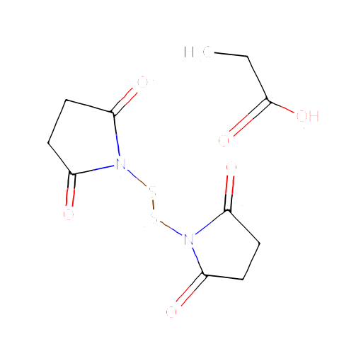 CCC(=O)O.O=C1CCC(=O)N1SSN1C(=O)CCC1=O